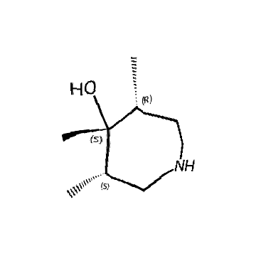 C[C@@H]1CNC[C@H](C)[C@]1(C)O